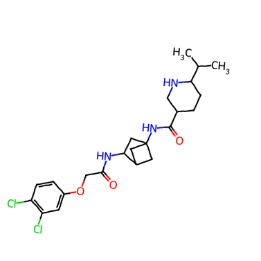 CC(C)C1CCC(C(=O)NC23CC(C2)C(NC(=O)COc2ccc(Cl)c(Cl)c2)C3)CN1